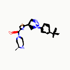 C[C@H]1CN(C(=O)c2csc(-c3cnn(-c4ccc(C(C)(C)C)cc4)c3)n2)CCN1